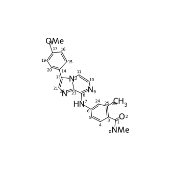 CNC(=O)c1ccc(Nc2nccn3c(-c4ccc(OC)cc4)cnc23)cc1C